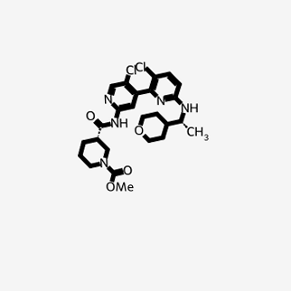 COC(=O)N1CCC[C@H](C(=O)Nc2cc(-c3nc(N[C@H](C)C4CCOCC4)ccc3Cl)c(Cl)cn2)C1